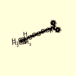 CC(C)(C)OC(=O)NCCOCCOCCOCCOCCOCC(F)CN(Cc1ccccc1)Cc1ccccc1